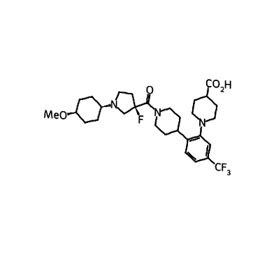 CO[C@H]1CC[C@@H](N2CC[C@](F)(C(=O)N3CCC(c4ccc(C(F)(F)F)cc4N4CCC(C(=O)O)CC4)CC3)C2)CC1